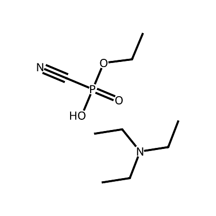 CCN(CC)CC.CCOP(=O)(O)C#N